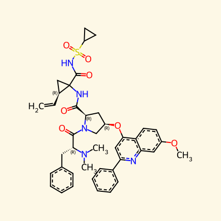 C=C[C@H]1CC1(NC(=O)[C@H]1C[C@@H](Oc2cc(-c3ccccc3)nc3cc(OC)ccc23)CN1C(=O)[C@@H](Cc1ccccc1)N(C)C)C(=O)NS(=O)(=O)C1CC1